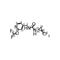 O=C(NCc1ccnc(OC(F)F)c1)N[C@@H]1C[C@H]1C(F)(F)F